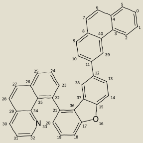 c1ccc2c(c1)ccc1ccc(-c3ccc4oc5cccc(-c6cccc7ccc8cccnc8c67)c5c4c3)cc12